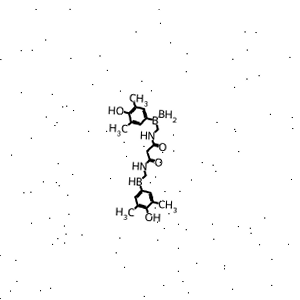 BB(CNC(=O)CC(=O)NCBc1cc(C)c(O)c(C)c1)c1cc(C)c(O)c(C)c1